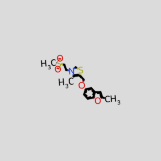 CC1=C(COc2ccc3oc(C)cc3c2)SCN1CCS(C)(=O)=O